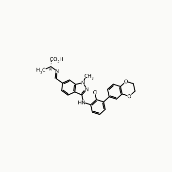 C[C@@H](N=Cc1ccc2c(Nc3cccc(-c4ccc5c(c4)OCCO5)c3Cl)nn(C)c2c1)C(=O)O